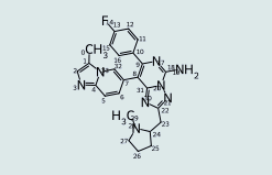 Cc1cnc2ccc(-c3c(-c4ccc(F)cc4)nc(N)n4nc(CC5CCCN5C)nc34)cn12